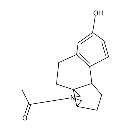 CC(=O)N1CC2CCC3c4ccc(O)cc4CCC23C1